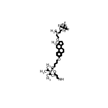 CC(C)N(C(C)C)P(OCCC=N)OCCCCOc1ccc2c(c1)CCC1C2CC[C@@]2(C)C1CC[C@@H]2OCCN(C)CCOC(C(F)(F)F)(C(F)(F)F)C(F)(F)F